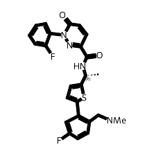 CNCc1ccc(F)cc1-c1ccc([C@@H](C)NC(=O)c2ccc(=O)n(-c3ccccc3F)n2)s1